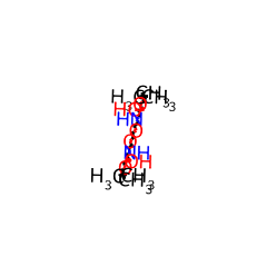 CC(C)(C)COCC(O)CNCCOCCOCCNCC(O)COCC(C)(C)C